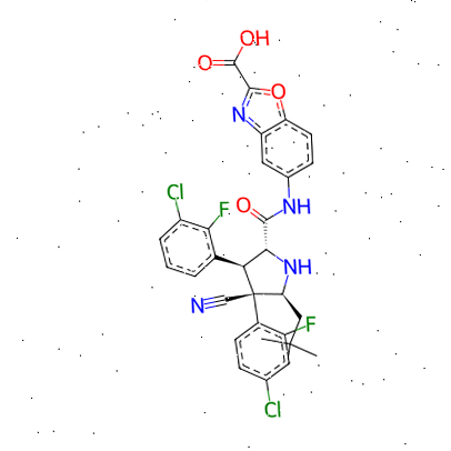 CC(C)(C)C[C@@H]1N[C@@H](C(=O)Nc2ccc3oc(C(=O)O)nc3c2)[C@H](c2cccc(Cl)c2F)[C@@]1(C#N)c1ccc(Cl)cc1F